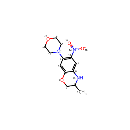 CC1COc2cc(N3CCOCC3)c([N+](=O)[O-])cc2N1